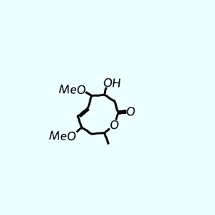 COC1/C=C/C(OC)C(O)CC(=O)OC(C)C1